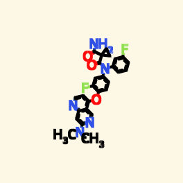 CN(C)c1cc2nccc(Oc3ccc(N(C(=O)C4(C(N)=O)CC4)c4cccc(F)c4)cc3F)c2cn1